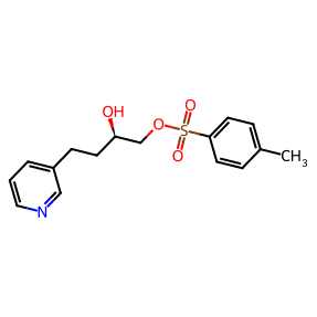 Cc1ccc(S(=O)(=O)OC[C@H](O)CCc2cccnc2)cc1